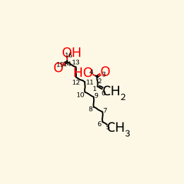 C=CC(=O)O.CCCCCCCCCC(=O)O